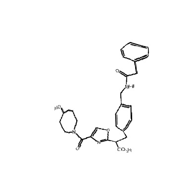 O=C(Cc1ccccc1)NCc1ccc(CC(C(=O)O)c2nc(C(=O)N3CCC(O)CC3)co2)cc1